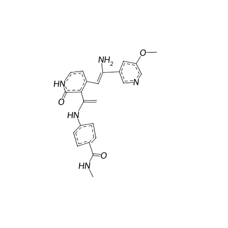 C=C(Nc1ccc(C(=O)NC)cc1)c1c(/C=C(\N)c2cncc(OC)c2)cc[nH]c1=O